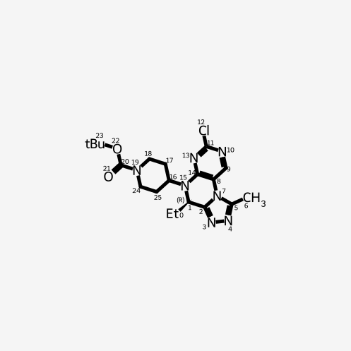 CC[C@@H]1c2nnc(C)n2-c2cnc(Cl)nc2N1C1CCN(C(=O)OC(C)(C)C)CC1